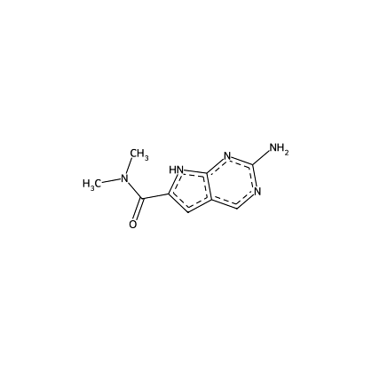 CN(C)C(=O)c1cc2cnc(N)nc2[nH]1